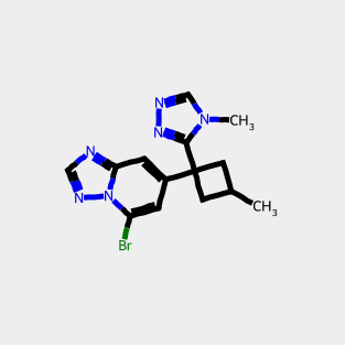 CC1CC(c2cc(Br)n3ncnc3c2)(c2nncn2C)C1